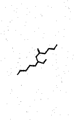 CCCCCC(CC)CC(C)CCCC